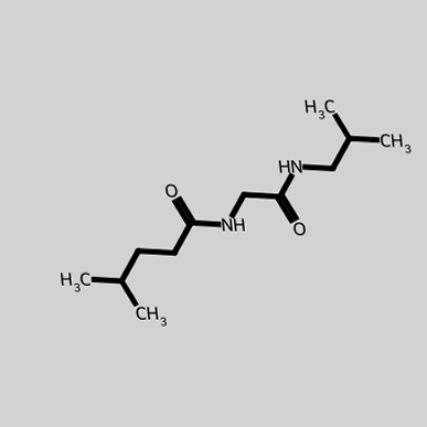 CC(C)CCC(=O)NCC(=O)NCC(C)C